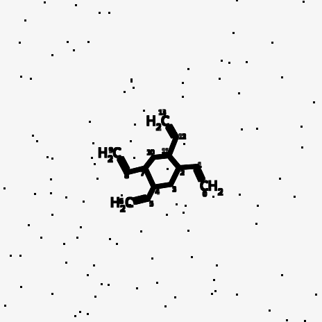 C=CC1CC(C=C)C(C=C)CC1C=C